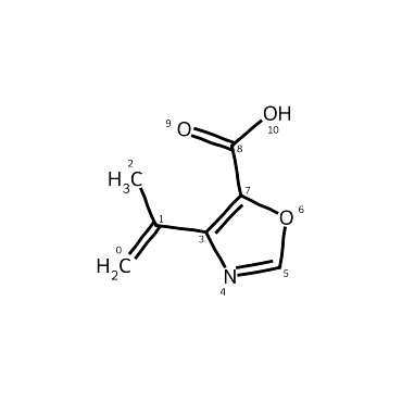 C=C(C)c1ncoc1C(=O)O